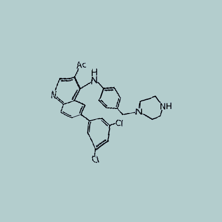 CC(=O)c1cnc2ccc(-c3cc(Cl)cc(Cl)c3)cc2c1Nc1ccc(CN2CCNCC2)cc1